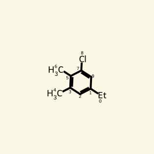 CCc1cc(C)c(C)c(Cl)c1